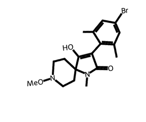 CON1CCC2(CC1)C(O)=C(c1c(C)cc(Br)cc1C)C(=O)N2C